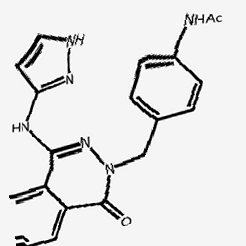 CC(=O)Nc1ccc(Cn2nc(Nc3cc[nH]n3)c3ccccc3c2=O)cc1